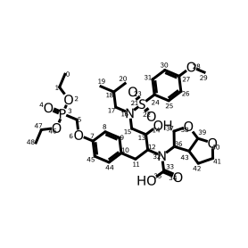 CCOP(=O)(COc1ccc(CC(C(O)CN(CC(C)C)S(=O)(=O)c2ccc(OC)cc2)N(C(=O)O)C2COC3OCCC32)cc1)OCC